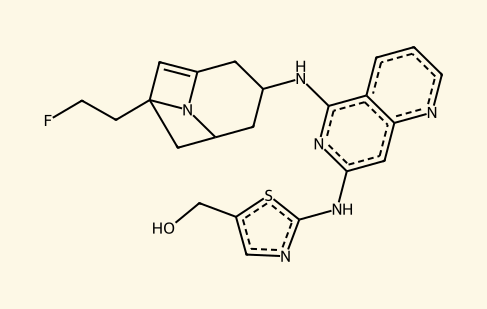 OCc1cnc(Nc2cc3ncccc3c(NC3CC4=CC5(CCF)CC(C3)N45)n2)s1